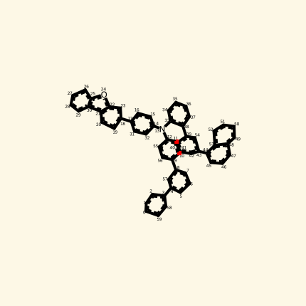 c1ccc(-c2cccc(-c3ccc(N(c4ccc(-c5ccc6c(c5)oc5ccccc56)cc4)c4ccccc4-c4cccc(-c5cccc6ccccc56)c4)cc3)c2)cc1